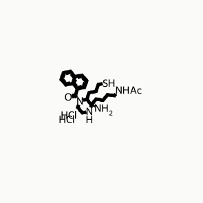 CC(=O)NCCCC[C@]1(N)NCCN(C(=O)c2cccc3ccccc23)C1CCCS.Cl.Cl